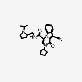 CC(C)N1CCCC1CNC(=O)c1cn(C2CCCC2)c(=O)c2c(C#N)c3ccccc3n12